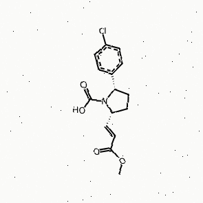 COC(=O)/C=C/[C@H]1CC[C@@H](c2ccc(Cl)cc2)N1C(=O)O